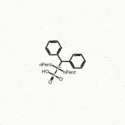 CCCCC[N+](CCCCC)(C(c1ccccc1)c1ccccc1)P(=O)([O-])O